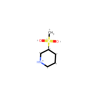 CS(=O)(=O)[C@H]1C[CH]CNC1